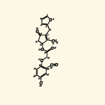 CC1=C(Cc2ccco2)C(=O)CC1OC(=O)COc1ccc(Cl)cc1C=O